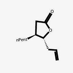 C=CC[C@H]1OC(=O)C[C@@H]1CCCCC